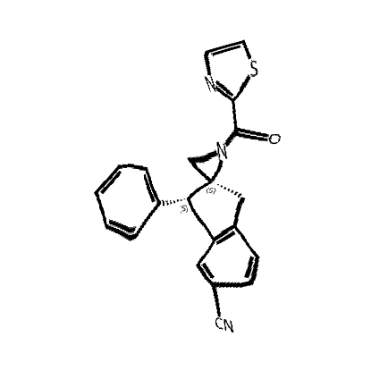 N#Cc1ccc2c(c1)[C@H](c1ccccc1)[C@@]1(C2)CN1C(=O)c1nccs1